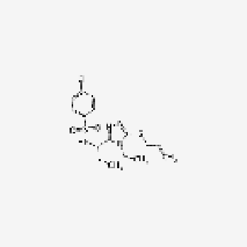 C=CCSc1nnc(C(CC)NS(=O)(=O)c2ccc(Cl)cc2)n1CC